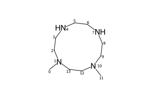 CN1CCNCCNCCN(C)CC1